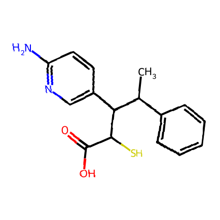 CC(c1ccccc1)C(c1ccc(N)nc1)C(S)C(=O)O